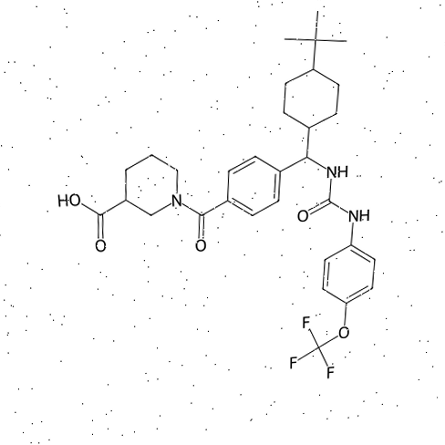 CC(C)(C)C1CCC(C(NC(=O)Nc2ccc(OC(F)(F)F)cc2)c2ccc(C(=O)N3CCCC(C(=O)O)C3)cc2)CC1